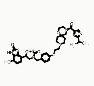 CC(C)c1ncc(C(=O)N2CCOC3(CCN(CCOc4ccc(CN(CC(O)c5ccc(O)c6[nH]c(=O)sc56)C(=O)O)cc4)CC3)C2)s1